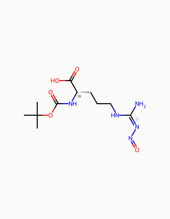 CC(C)(C)OC(=O)N[C@@H](CCCN/C(N)=N\N=O)C(=O)O